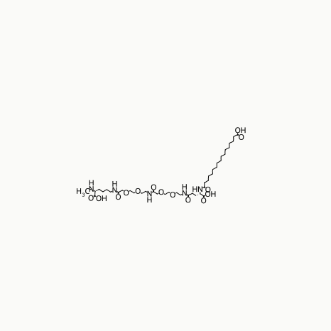 CN[C@@H](CCCCNC(=O)COCCOCCNC(=O)COCCOCCNC(=O)CC[C@H](NC(=O)CCCCCCCCCCCCCCCC(=O)O)C(=O)O)C(=O)O